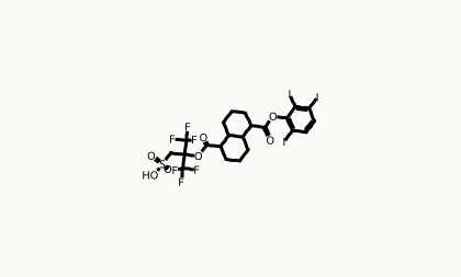 O=C(Oc1c(I)ccc(I)c1I)C1CCCC2C(C(=O)OC(CS(=O)(=O)O)(C(F)(F)F)C(F)(F)F)CCCC12